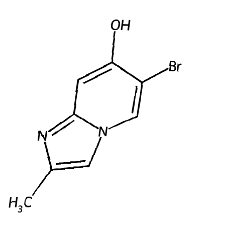 Cc1cn2cc(Br)c(O)cc2n1